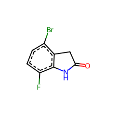 O=C1Cc2c(Br)ccc(F)c2N1